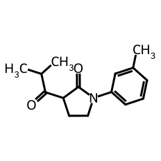 Cc1cccc(N2CCC(C(=O)C(C)C)C2=O)c1